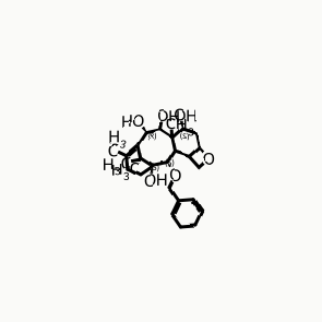 CC1=C2[C@@H](O)C(O)C3(C)C(C4COC4C[C@@H]3O)[C@H](OCC3=CCCC=C3)[C@](O)(CC1)C2(C)C